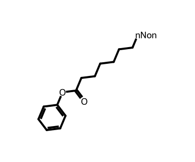 CCCCCCCCCCCCCCCC(=O)Oc1ccccc1